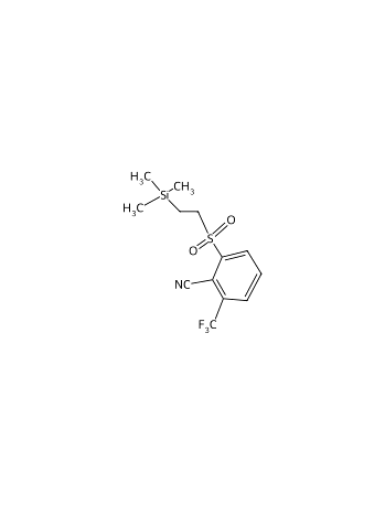 C[Si](C)(C)CCS(=O)(=O)c1cccc(C(F)(F)F)c1C#N